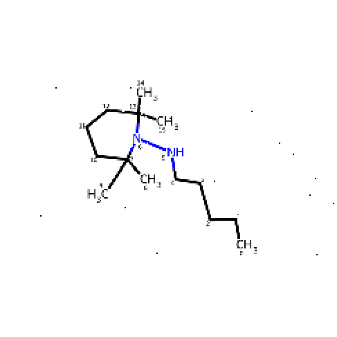 CCCCCNN1C(C)(C)CCCC1(C)C